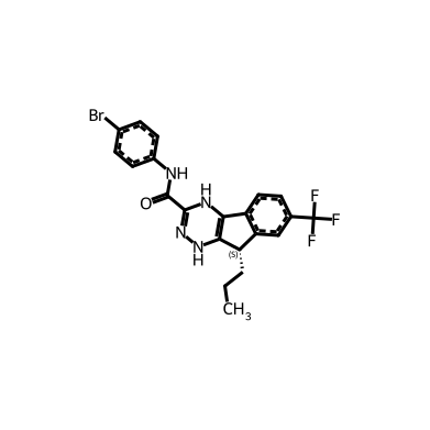 CCC[C@@H]1C2=C(NC(C(=O)Nc3ccc(Br)cc3)=NN2)c2ccc(C(F)(F)F)cc21